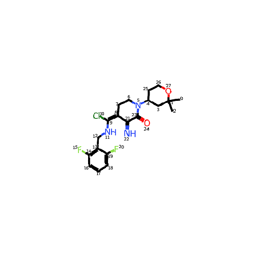 CC1(C)CC(N2CC/C(=C(\Cl)NCc3c(F)cccc3F)C(=N)C2=O)CCO1